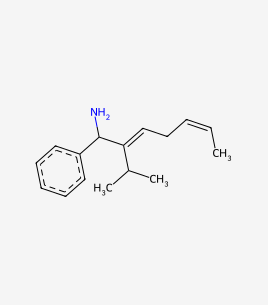 C/C=C\C/C=C(\C(C)C)C(N)c1ccccc1